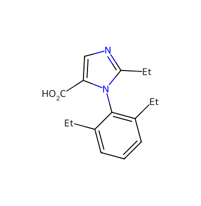 CCc1cccc(CC)c1-n1c(C(=O)O)cnc1CC